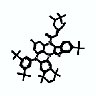 C=C(/C=C(/CC)CC(C)C(C)(C)C)N1c2c(sc3cc(C(C)(C)C)ccc23)B2C3=C(C=C(C)CC31)N(c1cc(C(C)(C)C)cc(C(C)(C)C)c1)c1cc3c(cc12)C(C)(C)CCC3(C)C